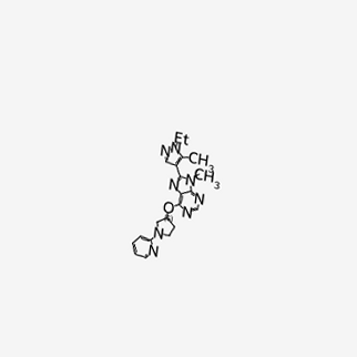 CCn1ncc(-c2nc3c(O[C@H]4CCN(c5ccccn5)C4)ncnc3n2C)c1C